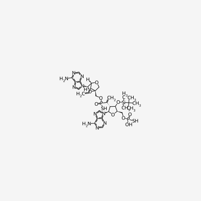 C=C[C@H]1[C@H]2OC[C@]1(COP(=O)(S)C(=C)[C@@H]1C(O[Si](C)(C)C(C)(C)C)[C@@H](COP(=O)(O)S)O[C@H]1n1cnc3c(N)ncnc31)O[C@H]2n1cnc2c(N)ncnc21